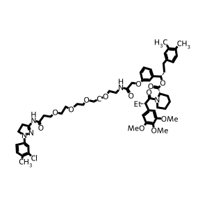 CC[C@H](C(=O)N1CCCC[C@H]1C(=O)O[C@@H](CCc1ccc(C)c(C)c1)c1cccc(OCC(=O)NCCOCCOCCOCCOCCC(=O)NC2=NN(c3ccc(C)c(Cl)c3)CC2)c1)c1cc(OC)c(OC)c(OC)c1